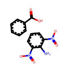 Nc1c([N+](=O)[O-])cccc1[N+](=O)[O-].O=C(O)c1ccccc1